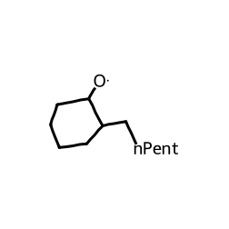 CCCCCCC1CCCCC1[O]